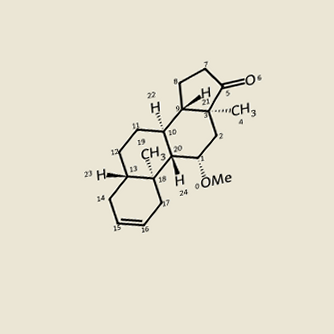 CO[C@H]1C[C@]2(C)C(=O)CC[C@H]2[C@@H]2CC[C@H]3CC=CC[C@]3(C)[C@H]21